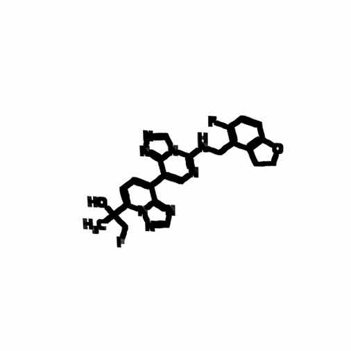 CC(O)(CF)c1ccc(-c2cnc(NCc3c(F)ccc4c3CCO4)n3cnnc23)c2ncnn12